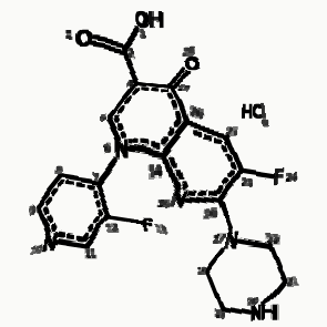 Cl.O=C(O)c1cn(-c2ccncc2F)c2nc(N3CCNCC3)c(F)cc2c1=O